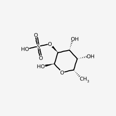 C[C@@H]1O[C@@H](O)[C@@H](OS(=O)(=O)O)[C@H](O)[C@@H]1O